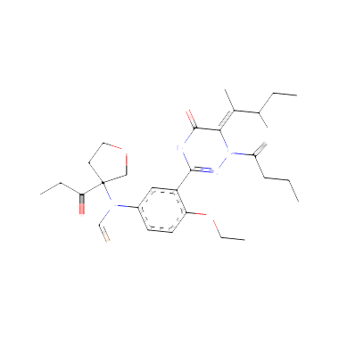 C=C(CCC)N1N=C(c2cc(N(C=S)C3(C(=O)CC)CCOC3)ccc2OCC)NC(=O)/C1=C(\C)C(C)CC